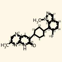 Cc1cnc2cc(C3CCC(c4c(F)ccc5cnn(C)c45)CC3)c(=O)[nH]c2n1